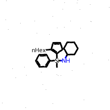 CCCCCCC1=C([Si](C)(NC2CCCCC2)c2ccccc2)CC=C1